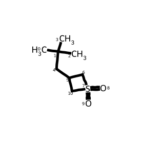 CC(C)(C)CC1CS(=O)(=O)C1